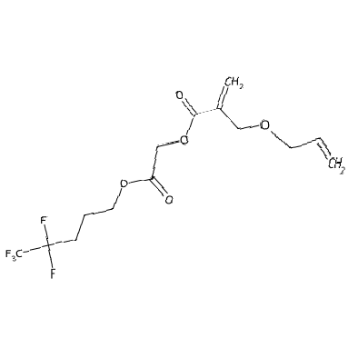 C=CCOCC(=C)C(=O)OCC(=O)OCCCC(F)(F)C(F)(F)F